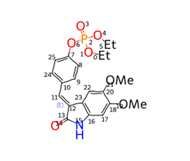 CCOP(=O)(OCC)Oc1ccc(/C=C2/C(=O)Nc3cc(OC)c(OC)cc32)cc1